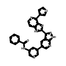 O=C(Nc1cncc(-c2cnc3[nH]nc(-c4nc5c(-c6ccoc6)nccc5[nH]4)c3c2)c1)c1ccccc1